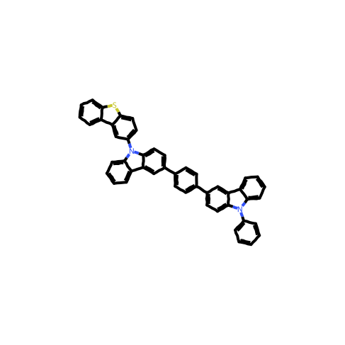 c1ccc(-n2c3ccccc3c3cc(-c4ccc(-c5ccc6c(c5)c5ccccc5n6-c5ccc6sc7ccccc7c6c5)cc4)ccc32)cc1